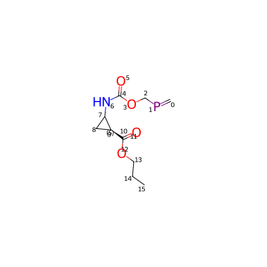 C=PCOC(=O)NC1C[C@@H]1C(=O)OCCC